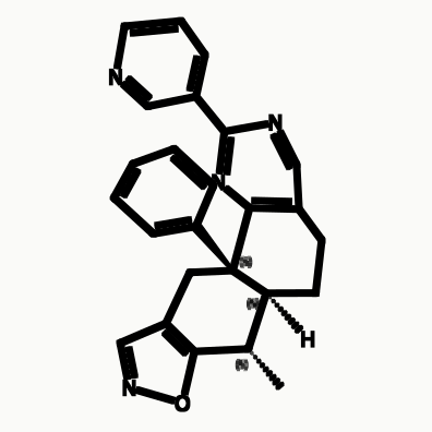 C[C@@H]1c2oncc2C[C@]2(c3ccccc3)c3nc(-c4cccnc4)ncc3CC[C@@H]12